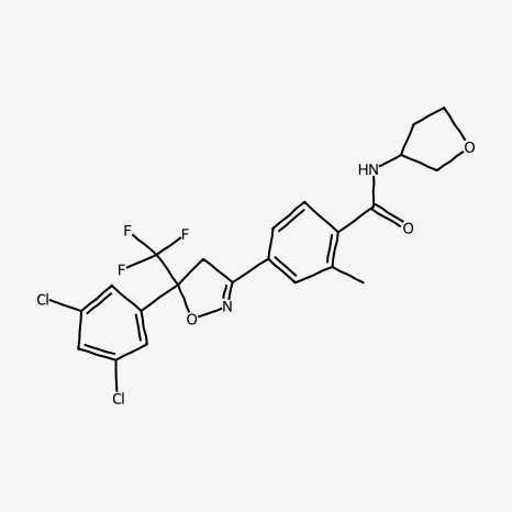 Cc1cc(C2=NOC(c3cc(Cl)cc(Cl)c3)(C(F)(F)F)C2)ccc1C(=O)NC1CCOC1